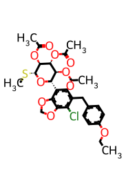 CCOc1ccc(Cc2cc([C@@H]3O[C@H](SC)[C@@H](OC(C)=O)[C@H](OC(C)=O)[C@H]3OC(C)=O)c3c(c2Cl)OCO3)cc1